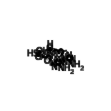 C[C@@H]1CC(CO[PH](=O)O[C@H]2[C@@H](F)[C@H](n3cnc4c(N)ncnc43)O[C@@H]2[C@@H](C)OP(=O)(O)S)O[C@H]1n1cnc2c(N)ncnc21